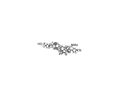 CNCCn1c(-c2ccc(C#N)cc2)nnc1[C@H](O)[C@@]12CC[C@]3(C)[C@H](CC[C@@H]4[C@@]5(C)CC[C@H](OC(=O)CC(C)(C)C(=O)O)C(C)(C)[C@@H]5CC[C@]43C)C1=C(C(C)C)C(=O)C2